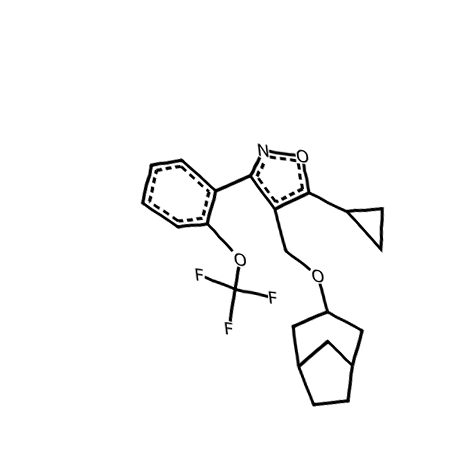 FC(F)(F)Oc1ccccc1-c1noc(C2CC2)c1COC1CC2CCC(C2)C1